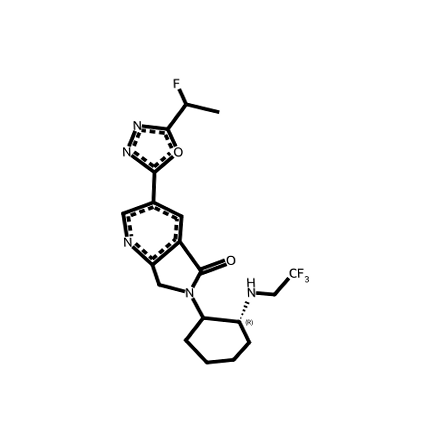 CC(F)c1nnc(-c2cnc3c(c2)C(=O)N(C2CCCC[C@H]2NCC(F)(F)F)C3)o1